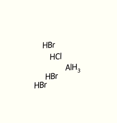 Br.Br.Br.Cl.[AlH3]